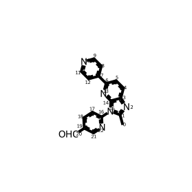 Cc1nc2ccc(-c3ccncc3)nc2n1-c1ccc(C=O)cn1